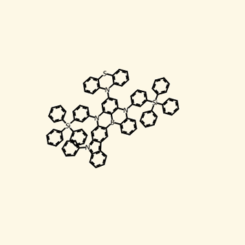 c1ccc(-n2c3ccccc3c3cc4c(cc32)N(c2cccc([Si](c3ccccc3)(c3ccccc3)c3ccccc3)c2)c2cc(N3c5ccccc5Sc5ccccc53)cc3c2B4c2ccccc2N3c2cccc([Si](c3ccccc3)(c3ccccc3)c3ccccc3)c2)cc1